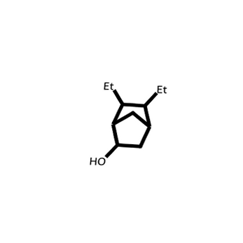 CCC1C2CC(O)C(C2)C1CC